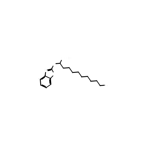 O=C(O)C(CCCCCCCCCBr)Sc1nc2ccccc2s1